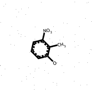 Cc1c([O])cccc1[N+](=O)[O-]